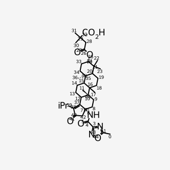 Cc1nc(C(=O)N[C@@]23CC[C@]4(C)C(CCC5C4(C)CCC4C(C)(C)[C@@H](OC(=O)CC(C)(C)C(=O)O)CC[C@@]45C)C2=C(C(C)C)C(=O)C3)no1